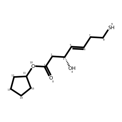 O=C(C[C@@H](O)/C=C/CCS)OC1CCCC1